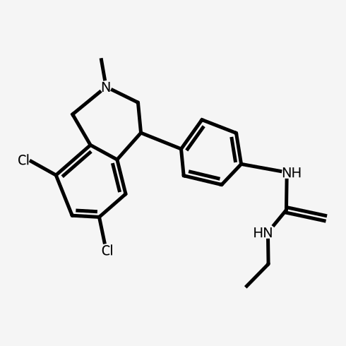 C=C(NCC)Nc1ccc(C2CN(C)Cc3c(Cl)cc(Cl)cc32)cc1